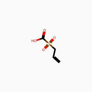 C=CCS(=O)(=O)C(=O)O